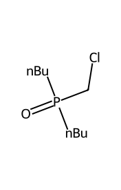 CCCCP(=O)(CCl)CCCC